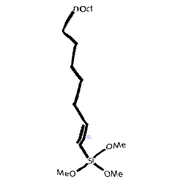 CCCCCCCCCCCCC/C=C/[Si](OC)(OC)OC